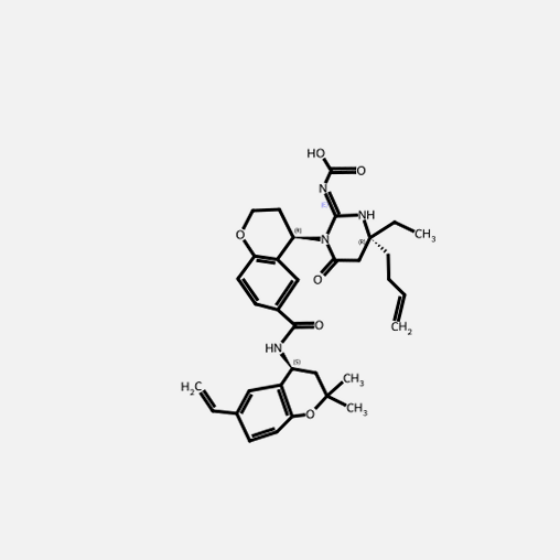 C=CCC[C@]1(CC)CC(=O)N([C@@H]2CCOc3ccc(C(=O)N[C@H]4CC(C)(C)Oc5ccc(C=C)cc54)cc32)/C(=N/C(=O)O)N1